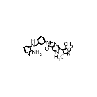 Cc1noc(C)c1-c1cnc(C(=O)Nc2cccc(CNc3cccnc3N)c2)cn1